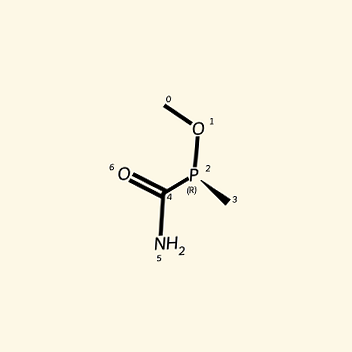 CO[P@@](C)C(N)=O